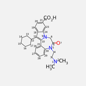 CN(C)CCN1C(=O)Cn2c(c(C3CCCCC3)c3ccc(C(=O)O)cc32)-c2ccccc21